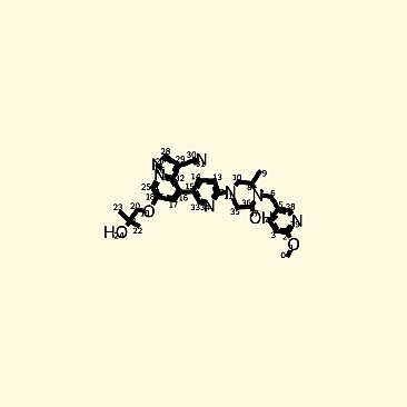 COc1ccc(CN2C(C)CN(c3ccc(-c4cc(OCC(C)(C)O)cn5ncc(C#N)c45)cn3)CC2O)cn1